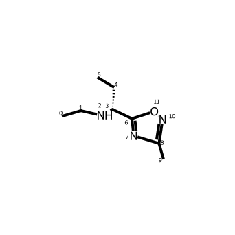 CCN[C@H](CC)c1nc(C)no1